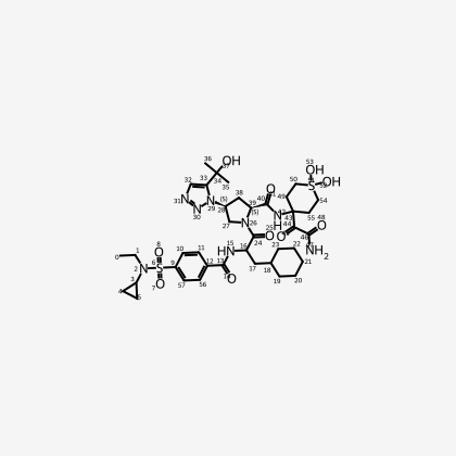 CCN(C1CC1)S(=O)(=O)c1ccc(C(=O)NC(CC2CCCCC2)C(=O)N2C[C@@H](n3nncc3C(C)(C)O)C[C@H]2C(=O)NC2(C(=O)C(N)=O)CCS(O)(O)CC2)cc1